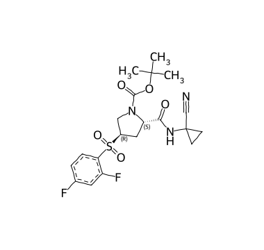 CC(C)(C)OC(=O)N1C[C@H](S(=O)(=O)c2ccc(F)cc2F)C[C@H]1C(=O)NC1(C#N)CC1